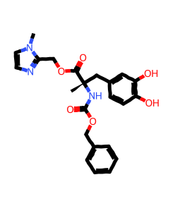 Cn1ccnc1COC(=O)[C@](C)(Cc1ccc(O)c(O)c1)NC(=O)OCc1ccccc1